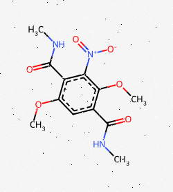 CNC(=O)c1cc(OC)c(C(=O)NC)c([N+](=O)[O-])c1OC